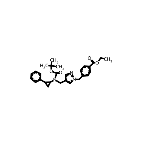 CCOC(=O)c1ccc(Cn2cc(CN(C(=O)OC(C)(C)C)C3CC3c3ccccc3)cn2)cc1